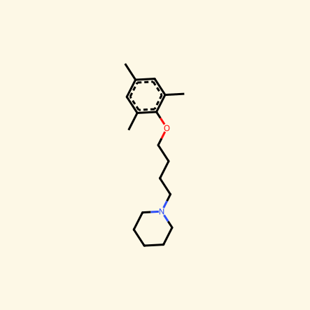 Cc1cc(C)c(OCCCCN2CCCCC2)c(C)c1